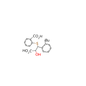 CCC(C)c1ccccc1C(Sc1ccccc1C(=O)O)C(O)C(=O)O